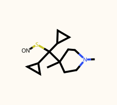 CN1CCC(C)(C(SN=O)(C2CC2)C2CC2)CC1